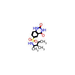 CCC(C)C(C)NS(=O)(=O)c1ccc2[nH]c(=O)[nH]c(=O)c2c1